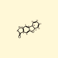 O=C1CSc2cc3c(cc21)OC1C=CC=CC31